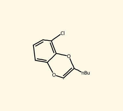 CCCCC1=[C]Oc2cccc(Cl)c2O1